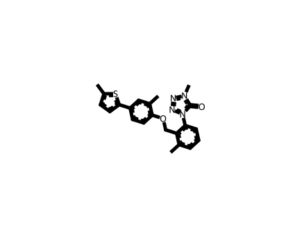 Cc1ccc(-c2ccc(OCc3c(C)cccc3-n3nnn(C)c3=O)c(C)c2)s1